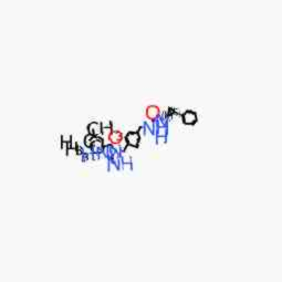 CC(C)CC1(C)NC(=N)N(Cc2ccc(CNC(=O)N[C@@H]3C[C@H]3c3ccccc3)cc2)C1=O